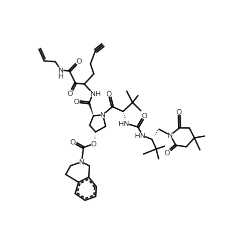 C#CCCC(NC(=O)[C@@H]1C[C@@H](OC(=O)N2CCc3ccccc3C2)CN1C(=O)[C@@H](NC(=O)N[C@H](CN1C(=O)CC(C)(C)CC1=O)C(C)(C)C)C(C)(C)C)C(=O)C(=O)NCC=C